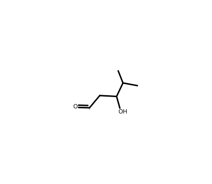 CC(C)C(O)C[C]=O